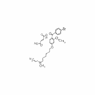 C=CCN(C)CCCCCCOc1ccc(C(=O)c2ccc(Br)cc2)c(OC)c1.O=C(O)/C=C/C(=O)O